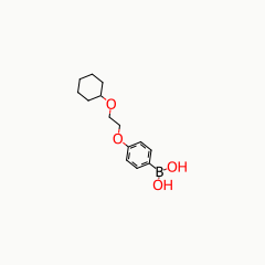 OB(O)c1ccc(OCCOC2CCCCC2)cc1